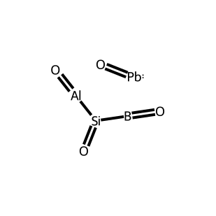 O=B[Si](=O)[Al]=[O].[O]=[Pb]